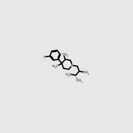 CC(CN1CCC(C)(c2cccc(F)c2)C(C)C1)[C@H](C)N